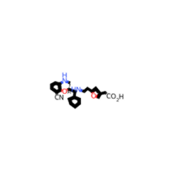 N#Cc1cccc2c1O[C@@H]([C@H](NCCc1cc(CC(=O)O)co1)c1ccccc1)CN2